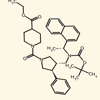 CCOC(=O)C1CCN(C(=O)N2C[C@H](CN(C(=O)OC(C)(C)C)[C@H](C)c3cccc4ccccc34)[C@@H](c3ccccc3)C2)CC1